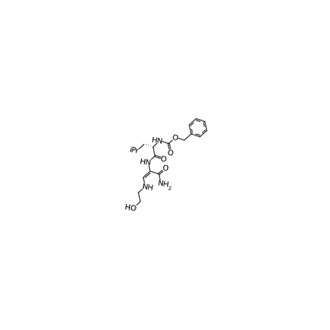 CC(C)C[C@H](NC(=O)OCc1ccccc1)C(=O)N/C(=C/NCCO)C(N)=O